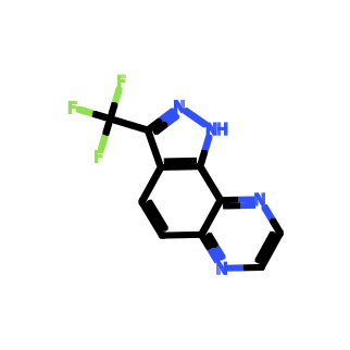 FC(F)(F)c1n[nH]c2c1ccc1nccnc12